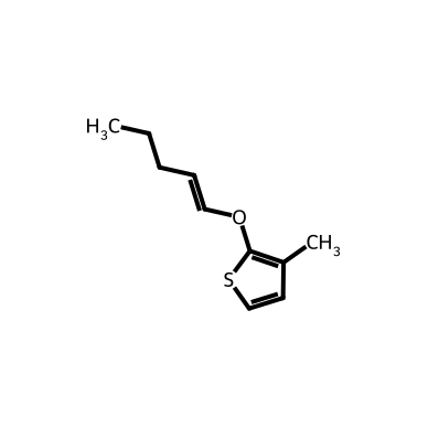 CCCC=COc1sccc1C